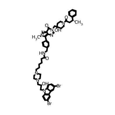 C[C@H](CC(=O)N1CCC(O)(Cn2cnc3c(-c4ccc(CNC(=O)CCCCCN5CCN(C[C@@H](O)Cn6c7ccc(Br)cc7c7cc(Br)ccc76)CC5)cc4)n(C)nc3c2=O)CC1)c1ccccc1